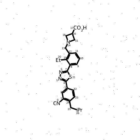 [C-]#[N+]c1cc(-c2nnc(-c3cccc(CN4CC(C(=O)O)C4)c3CC)s2)ccc1CC(C)C